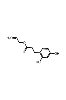 C=CCOC(=O)CCc1ccc(O)cc1O